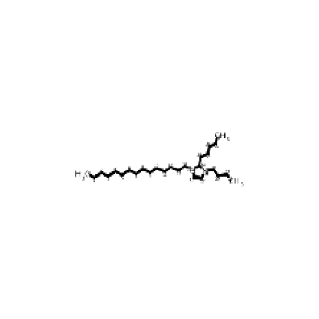 CCCCCCCCCCCCCCCN1C=CN(CCCC)C1CCCCC